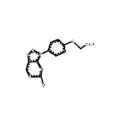 O=C(O)COc1ccc(-n2nnc3cnc(Cl)nc32)cc1